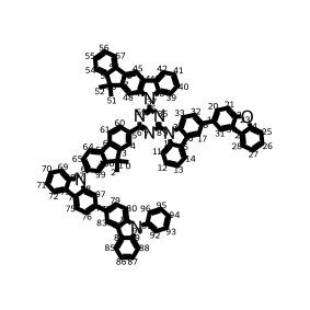 CC1(C)c2cc(-c3nc(-n4c5ccccc5c5cc(-c6ccc7oc8ccccc8c7c6)ccc54)nc(-n4c5ccccc5c5cc6c(cc54)C(C)(C)c4ccccc4-6)n3)ccc2-c2ccc(-n3c4ccccc4c4ccc(-c5ccc6c(c5)c5ccccc5n6-c5ccccc5)cc43)cc21